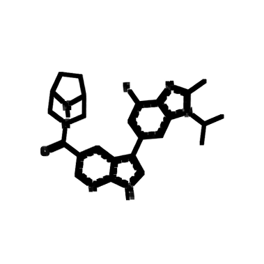 Cc1nc2c(F)cc(-c3c[nH]c4ncc(C(=O)N5CC6CCC(C5)N6C)cc34)cc2n1C(C)C